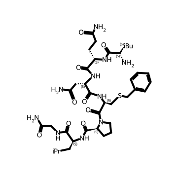 CC[C@H](C)[C@H](N)C(=O)N[C@@H](CCC(N)=O)C(=O)N[C@@H](CC(N)=O)C(=O)N[C@@H](CSCc1ccccc1)C(=O)N1CCC[C@H]1C(=O)N[C@@H](CC(C)C)C(=O)NCC(N)=O